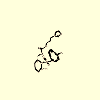 CC[C@@H]1CCC[C@H](COC(=O)NCCCn2ccnc2)N1S(=O)(=O)c1ccc(Cl)cc1